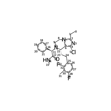 CCc1nc(Cl)c2n1CCN([C@@H](C(=O)NC)c1ccccc1)[C@H]2CCc1ccc(F)c(C)c1F